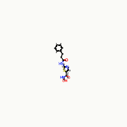 O=C(CCc1ccccc1)Nc1ncc(C(=O)NO)s1